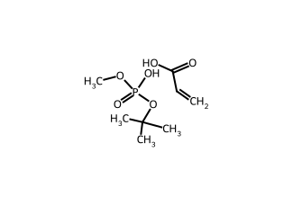 C=CC(=O)O.COP(=O)(O)OC(C)(C)C